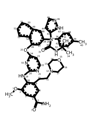 COc1cc(C(N)=O)cc(CCN2CCOCC2)c1Nc1nccc(Oc2cc([N+](C(=O)NC(C)C)(c3ccc(C)cc3)c3ccn[nH]3)cc3ccccc23)n1